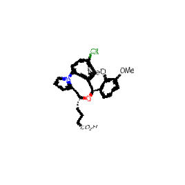 COc1cccc([C@H]2O[C@H](CCCC(=O)O)c3cccn3-c3ccc(Cl)cc32)c1OC